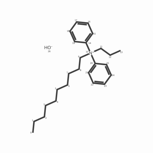 CCCCCCCCCC[N+](CCC)(c1ccccc1)c1ccccc1.[OH-]